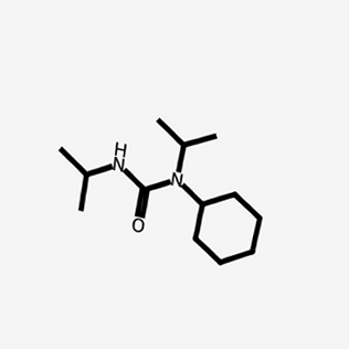 CC(C)NC(=O)N(C(C)C)C1CCCCC1